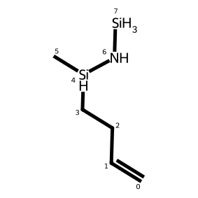 C=CCC[SiH](C)N[SiH3]